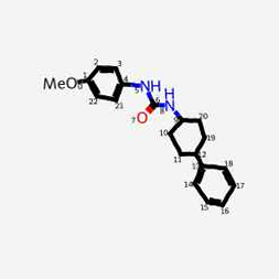 COc1ccc(NC(=O)NC2CCC(c3ccccc3)CC2)cc1